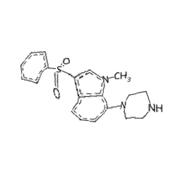 Cn1cc(S(=O)(=O)c2ccccc2)c2cccc(N3CCNCC3)c21